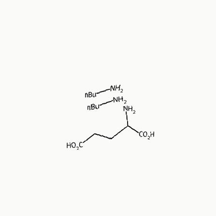 CCCCN.CCCCN.NC(CCC(=O)O)C(=O)O